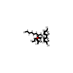 CCCCCCC(CCCC)C[Si]1(c2ccc(C)s2)c2cc(C)sc2-c2sc(C)cc21